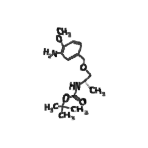 COc1ccc(COC[C@H](C)NC(=O)OC(C)(C)C)cc1N